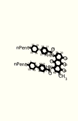 CCCCCC1CCC(c2ccc(C(=O)NC3=C4C(=O)C5=C(C(=O)CC=C5NC(=O)c5ccc([C@H]6CC[C@H](CCCCC)CC6)cc5)C(=O)C4C(=O)C(C)=C3)cc2)CC1